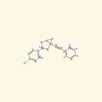 Fc1ccc(N2CC3CC3(C#Cc3ccccn3)C2)nc1